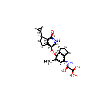 Cc1cc(NC(=O)C(=O)O)c2c(c1Oc1c[nH]c(=O)c3c1CCC3C1CC1)CCC2